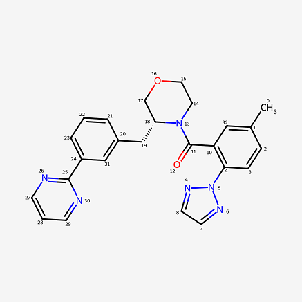 Cc1ccc(-n2nccn2)c(C(=O)N2CCOC[C@H]2Cc2cccc(-c3ncccn3)c2)c1